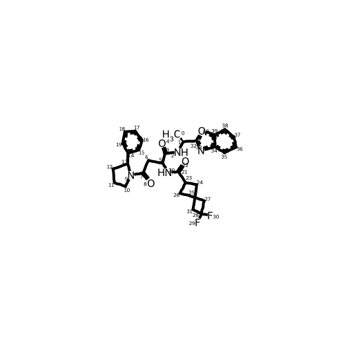 C[C@H](NC(=O)C(CC(=O)N1CCCC1c1ccccc1)NC(=O)C1CC2(C1)CC(F)(F)C2)c1nc2ccccc2o1